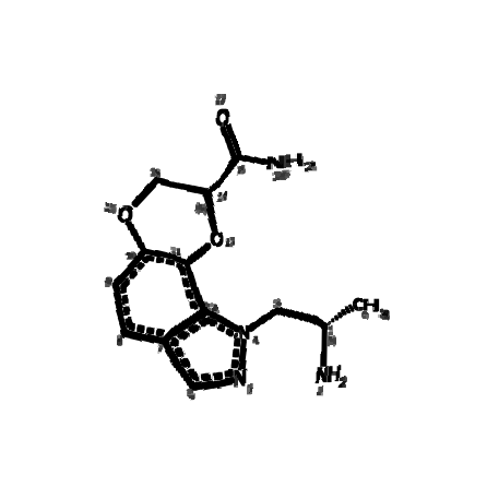 C[C@H](N)Cn1ncc2ccc3c(c21)O[C@H](C(N)=O)CO3